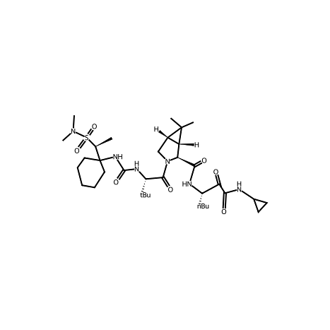 CCCC[C@H](NC(=O)[C@@H]1[C@@H]2[C@H](CN1C(=O)[C@@H](NC(=O)NC1([C@H](C)S(=O)(=O)N(C)C)CCCCC1)C(C)(C)C)C2(C)C)C(=O)C(=O)NC1CC1